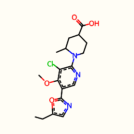 CCc1cnc(-c2cnc(N3CCC(C(=O)O)CC3C)c(Cl)c2OC)o1